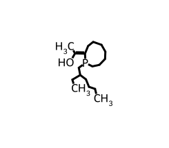 CCCCC(CC)CP1CCCCCCCC1=C(C)O